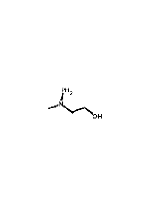 CN(P)CCO